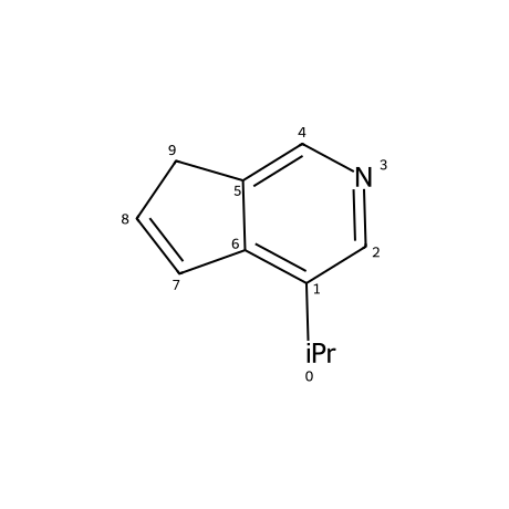 CC(C)c1cncc2c1C=CC2